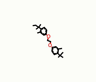 CCC(C)(C)c1ccc(OCCOc2ccc(C(C)(C)C)c(C)c2)cc1C